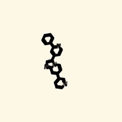 c1ccc(-c2cc(-c3cnc4cc(-c5cccnc5)ccn34)ccn2)cc1